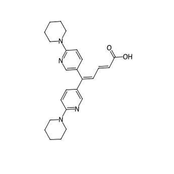 O=C(O)C=CC=C(c1ccc(N2CCCCC2)nc1)c1ccc(N2CCCCC2)nc1